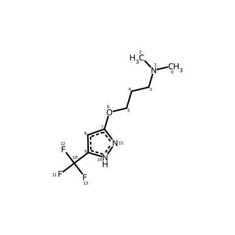 CN(C)CCCOc1cc(C(F)(F)F)[nH]n1